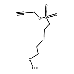 C#CCOS(=O)(=O)CCOCCOC=O